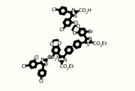 CCOC(=O)c1nc(-c2cc3c(cc2Br)OCCO3)c(-c2ccccc2)s1.CCOC(=O)c1nc(-c2ccccc2)c(-c2cc3c(cc2Br)OCCO3)s1.O=C(O)c1nc(-c2ccc(Cl)cc2)c(-c2ccc(Cl)cc2Cl)s1.O=C(O)c1nc(-c2ccc(Cl)cc2Cl)c(-c2ccc(Cl)cc2)s1